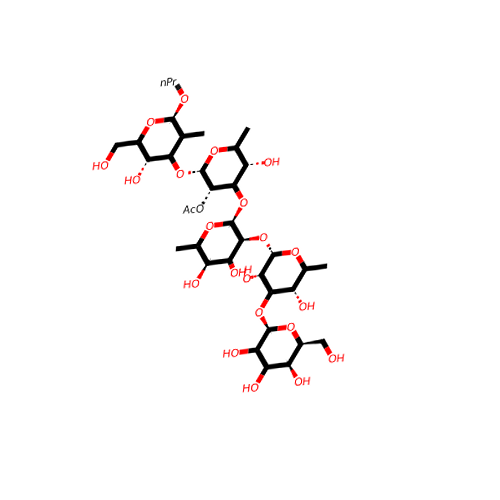 CCCO[C@@H]1OC(CO)[C@@H](O)C(O[C@@H]2OC(C)[C@H](O)C(O[C@@H]3OC(C)[C@H](O)C(O)[C@@H]3O[C@@H]3OC(C)[C@H](O)C(O[C@H]4O[C@@H](CO)[C@@H](O)C(O)C4O)[C@@H]3O)[C@@H]2OC(C)=O)C1C